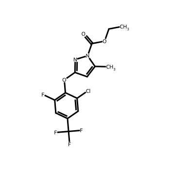 CCOC(=O)n1nc(Oc2c(F)cc(C(F)(F)F)cc2Cl)cc1C